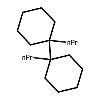 CCCC1(C2(CCC)CCCCC2)CCCCC1